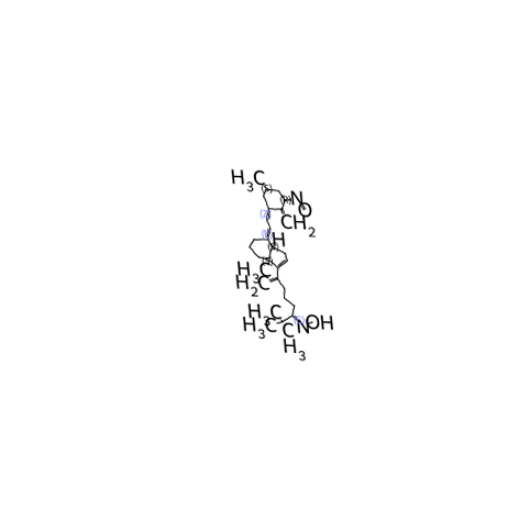 C=C(CCC/C(=N\O)C(C)(C)C)C1=CC[C@H]2/C(=C/C=C3/C[C@H](C)C[C@@H](N=O)C3=C)CCC[C@]12C